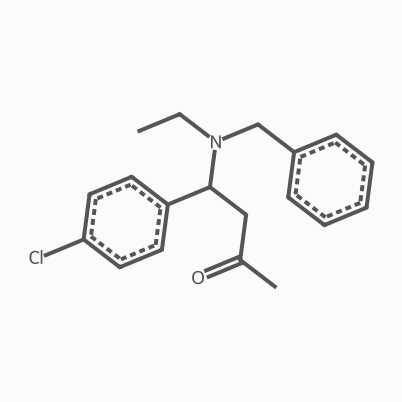 CCN(Cc1ccccc1)C(CC(C)=O)c1ccc(Cl)cc1